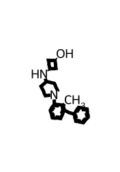 Cc1c(-c2ccccc2)cccc1N1CCC(N[C@H]2C[C@@H](O)C2)CC1